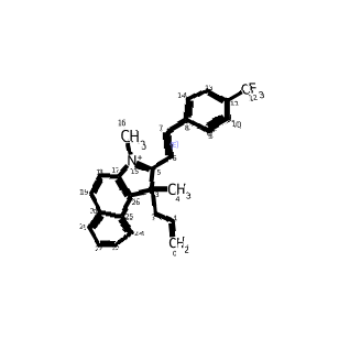 C=CCC1(C)C(/C=C/c2ccc(C(F)(F)F)cc2)=[N+](C)c2ccc3ccccc3c21